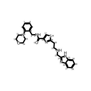 O=C(NCc1ccccc1N1CCOCC1)c1csc(CCNCc2nc3ccccc3[nH]2)n1